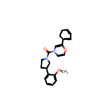 COc1ccccc1C1CCN(C(=O)N2C=COC(C3=CC=CCC3)=C2)C1